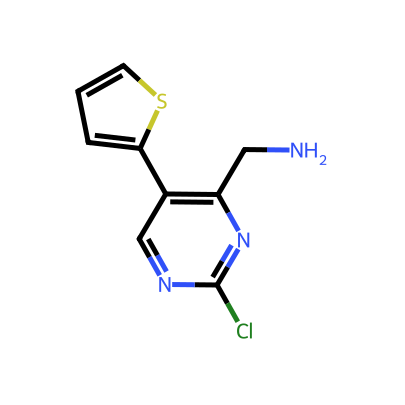 NCc1nc(Cl)ncc1-c1cccs1